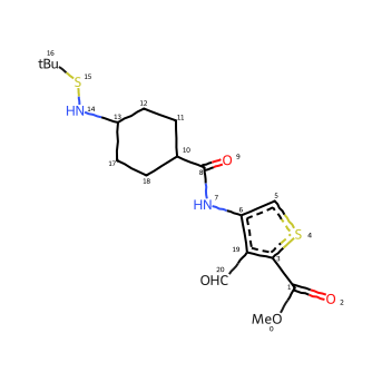 COC(=O)c1scc(NC(=O)C2CCC(NSC(C)(C)C)CC2)c1C=O